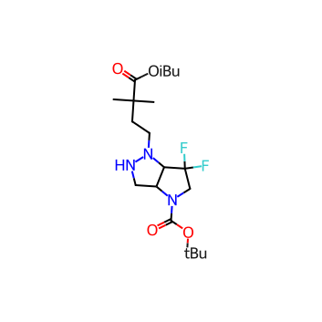 CC(C)COC(=O)C(C)(C)CCN1NCC2C1C(F)(F)CN2C(=O)OC(C)(C)C